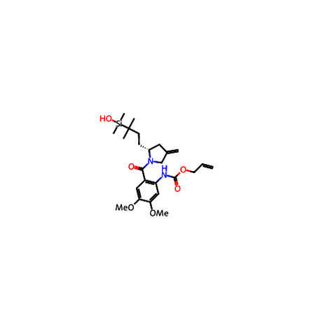 C=CCOC(=O)Nc1cc(OC)c(OC)cc1C(=O)N1CC(=C)C[C@H]1CCC(C)(C)[Si](C)(C)O